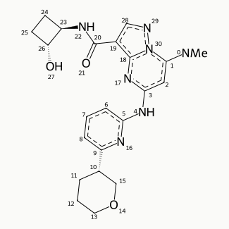 CNc1cc(Nc2cccc([C@H]3CCCOC3)n2)nc2c(C(=O)N[C@@H]3CC[C@H]3O)cnn12